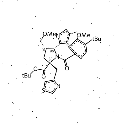 COC[C@H]1C[C@@](Cc2cscn2)(C(=O)OC(C)(C)C)N(C(=O)c2ccc(C(C)(C)C)c(OC)c2)[C@H]1c1ncc(C)s1